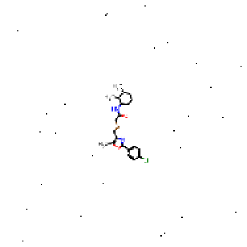 Cc1oc(-c2ccc(Cl)cc2)nc1CSCC(=O)NC1CCCC(C)C1C